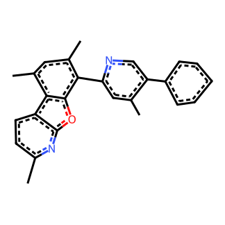 Cc1ccc2c(n1)oc1c(-c3cc(C)c(-c4ccccc4)cn3)c(C)cc(C)c12